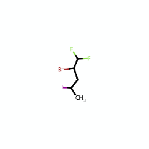 CC(I)CC(Br)C(F)F